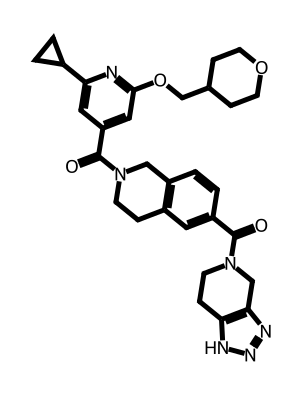 O=C(c1cc(OCC2CCOCC2)nc(C2CC2)c1)N1CCc2cc(C(=O)N3CCc4[nH]nnc4C3)ccc2C1